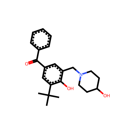 CC(C)(C)c1cc(C(=O)c2ccccc2)cc(CN2CCC(O)CC2)c1O